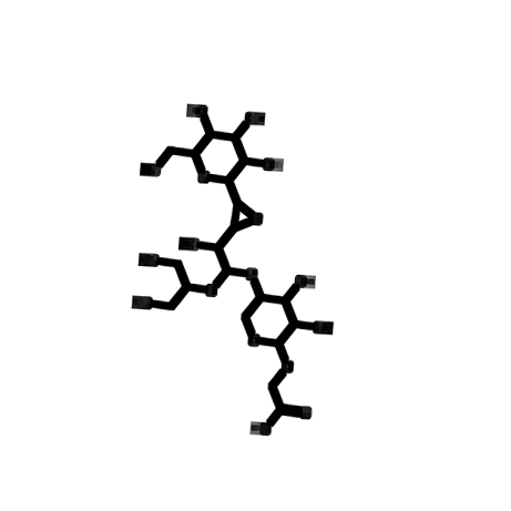 O=C(O)COC1OCC(OC(OC(CO)CO)C(O)C2OC2C2OC(CO)C(O)C(O)C2O)C(O)C1O